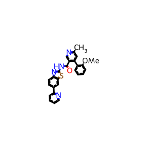 COc1ccccc1-c1cc(C)ncc1C(=O)Nc1nc2ccc(-c3ccccn3)cc2s1